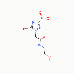 COCCNC(=O)Cn1nc([N+](=O)[O-])nc1Br